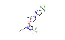 CCCCn1nc(C(F)(F)F)cc1O[C@@H]1CCN(c2ccc(C(F)(F)F)cn2)C[C@@H]1C